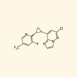 Fc1cc(C(F)(F)F)cnc1[C@H]1CC1c1cc(Cl)nn2ccnc12